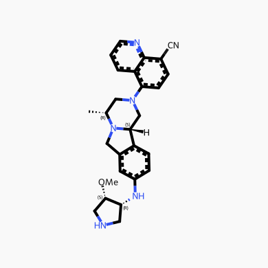 CO[C@H]1CNC[C@H]1Nc1ccc2c(c1)CN1[C@H](C)CN(c3ccc(C#N)c4ncccc34)C[C@H]21